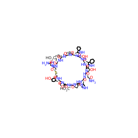 CCCC[C@H]1C(=O)N(C)[C@@H](CCCC)C(=O)N[C@@H](CCC(=O)O)C(=O)N[C@H](C(=O)NCC(N)=O)CSCC(=O)N[C@@H](Cc2ccc(O)cc2)C(=O)N2CCOC[C@H]2C(=O)N[C@@H](CC(=O)O)C(=O)N2CCC[C@H]2C(=O)N[C@@H](Cc2c[nH]cn2)C(=O)N[C@@H](CCC(N)=O)C(=O)N2C[C@H](O)C[C@H]2C(=O)N[C@@H](Cc2c[nH]c3ccccc23)C(=O)N[C@@H](CO)C(=O)N[C@@H](Cc2c[nH]c3ccccc23)C(=O)N1C